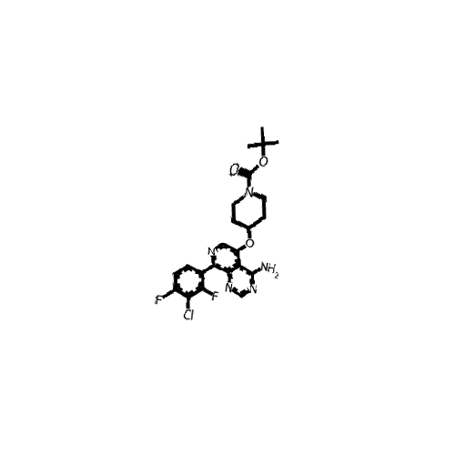 CC(C)(C)OC(=O)N1CCC(Oc2cnc(-c3ccc(F)c(Cl)c3F)c3ncnc(N)c23)CC1